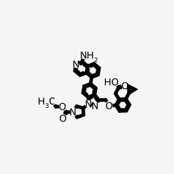 CCOC(=O)N1CCC(n2nc(COc3cccc(C4CC4)c3CC(=O)O)c3cc(-c4cccc5c(N)nccc45)ccc32)C1